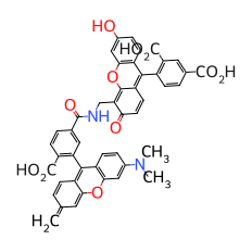 C=c1ccc2c(c1)Oc1cc(N(C)C)ccc1C=2c1cc(C(=O)NCc2c3oc4cc(O)ccc4c(-c4ccc(C(=O)O)cc4C(=O)O)c-3ccc2=O)ccc1C(=O)O